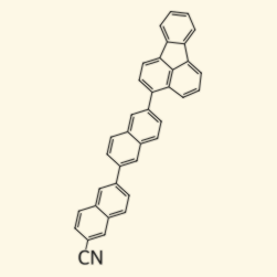 N#Cc1ccc2cc(-c3ccc4cc(-c5ccc6c7c(cccc57)-c5ccccc5-6)ccc4c3)ccc2c1